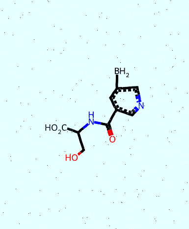 Bc1cncc(C(=O)NC(CO)C(=O)O)c1